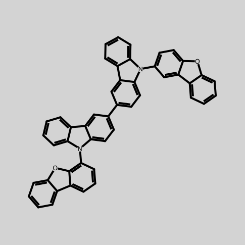 c1ccc2c(c1)oc1ccc(-n3c4ccccc4c4cc(-c5ccc6c(c5)c5ccccc5n6-c5cccc6c5oc5ccccc56)ccc43)cc12